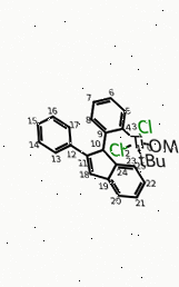 C[O][Ti]([Cl])([Cl])([c]1ccccc1C1C(c2ccccc2)=Cc2ccccc21)[C](C)(C)C